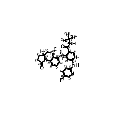 [2H]C([2H])([2H])NC(=O)c1cnc(Nc2ccc(F)cn2)cc1Nc1cccc2c1N(C)C[C@H]1CCC(=O)N21